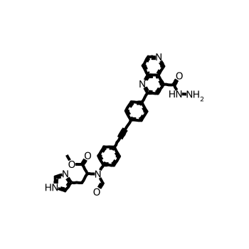 COC(=O)C(Cc1c[nH]cn1)N(C=O)c1ccc(C#Cc2ccc(-c3cc(C(=O)NN)c4cnccc4n3)cc2)cc1